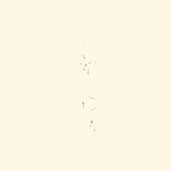 N#Cc1ccc(C2CCN(S(=O)(=O)[C@H]3CCOC3)CC2)cc1